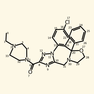 CCN1CCN(C(=O)c2nc3n(n2)-c2ccc(Cl)cc2C2(c4ccccc4)OCCN2C3)CC1